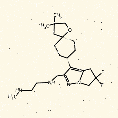 CNCCNCc1nn2c(c1[C@H]1CC[C@]3(CC1)CC(C)(C)CO3)CC(F)(F)C2